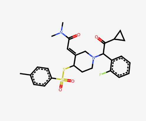 Cc1ccc(S(=O)(=O)SC2CCN(C(C(=O)C3CC3)c3ccccc3F)CC2=CC(=O)N(C)C)cc1